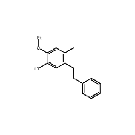 CCOc1cc(C)c(CCc2ccccc2)cc1C(C)C